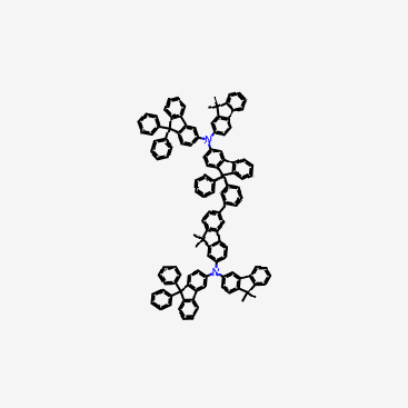 CC1(C)c2ccccc2-c2cc(N(c3ccc4c(c3)-c3ccccc3C4(c3ccccc3)c3ccccc3)c3ccc4c(c3)C(C)(C)c3ccc(-c5cccc(C6(c7ccccc7)c7ccccc7-c7cc(N(c8ccc9c(c8)-c8ccccc8C9(c8ccccc8)c8ccccc8)c8ccc9c(c8)C(C)(C)c8ccccc8-9)ccc76)c5)cc3-4)ccc21